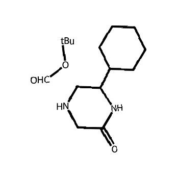 CC(C)(C)OC=O.O=C1CNCC(C2CCCCC2)N1